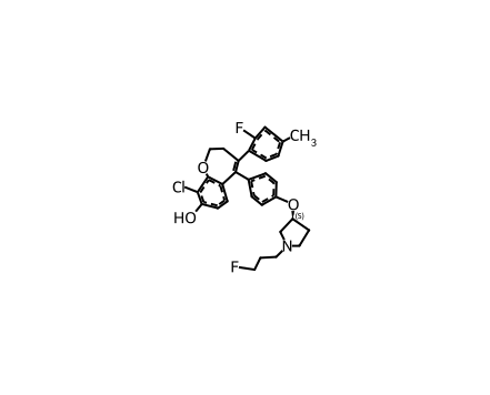 Cc1ccc(C2=C(c3ccc(O[C@H]4CCN(CCCF)C4)cc3)c3ccc(O)c(Cl)c3OCC2)c(F)c1